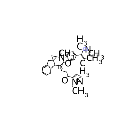 CCn1nccc1C(=O)CC[C@@H]1C(=O)[N+](C)(c2ccc(C(=C(C)C)/C(C)=N\C)cc2)C2CC23Cc2ccccc2C13